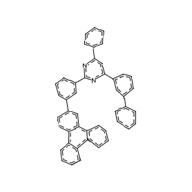 c1ccc(-c2cccc(-c3cc(-c4ccccc4)nc(-c4cccc(-c5ccc6c7ccccc7c7ccccc7c6c5)c4)n3)c2)cc1